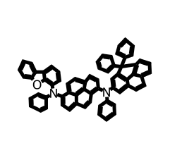 c1ccc(N(c2cc3c4c(ccc5cccc(c54)C3(c3ccccc3)c3ccccc3)c2)c2ccc3ccc4c(N(c5ccccc5)c5cccc6c5oc5ccccc56)ccc5ccc2c3c54)cc1